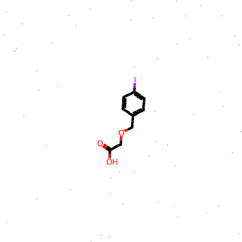 O=C(O)COCc1ccc(I)cc1